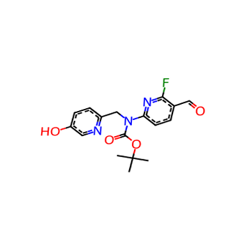 CC(C)(C)OC(=O)N(Cc1ccc(O)cn1)c1ccc(C=O)c(F)n1